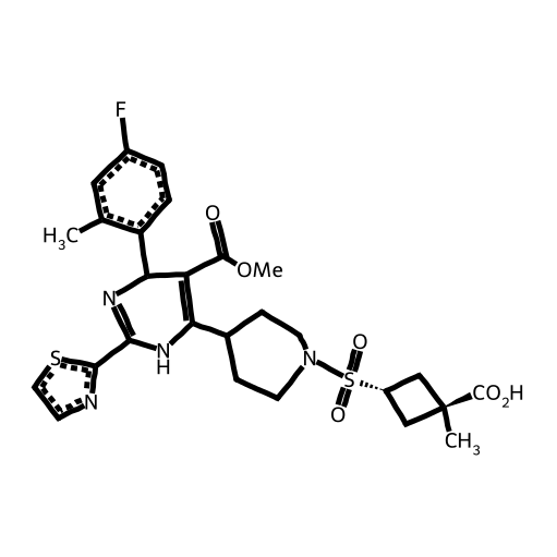 COC(=O)C1=C(C2CCN(S(=O)(=O)[C@H]3C[C@](C)(C(=O)O)C3)CC2)NC(c2nccs2)=NC1c1ccc(F)cc1C